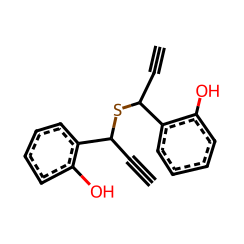 C#CC(SC(C#C)c1ccccc1O)c1ccccc1O